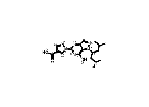 CC(C)CC(CC(C)C)n1ncc2nc(-n3cc(C(=O)O)cn3)nc(O)c21